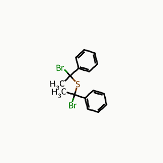 CC(Br)(SC(C)(Br)c1ccccc1)c1ccccc1